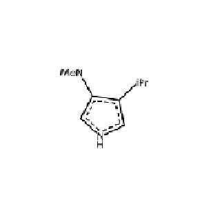 CNc1c[nH]cc1C(C)C